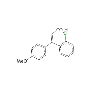 COc1ccc(/C(=C/C(=O)O)c2ccccc2Cl)cc1